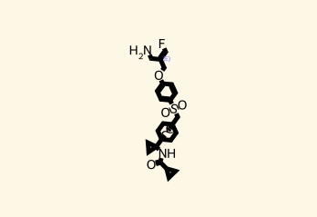 NC/C(=C\F)COc1ccc(S(=O)(=O)CC23CCC(C4(NC(=O)C5CC5)CC4)(CC2)CC3)cc1